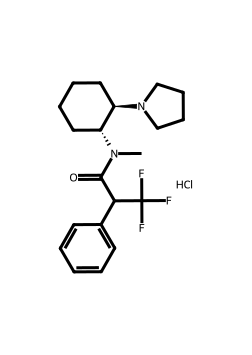 CN(C(=O)C(c1ccccc1)C(F)(F)F)[C@@H]1CCCC[C@H]1N1CCCC1.Cl